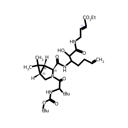 C=CCCC(NC(=O)[C@@H]1[C@@H]2[C@H](CN1C(=O)C(NC(=O)OC(C)(C)C)C(C)(C)C)C2(C)C)C(O)C(=O)NC/C=C/C(=O)OCC